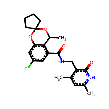 Cc1cc(C)c(CNC(=O)c2cc(Cl)cc3c2C(C)OC2(CCCC2)O3)c(=O)[nH]1